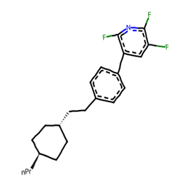 CCC[C@H]1CC[C@H](CCc2ccc(-c3cc(F)c(F)nc3F)cc2)CC1